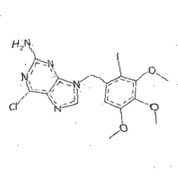 COc1cc(Cn2cnc3c(Cl)nc(N)nc32)c(I)c(OC)c1OC